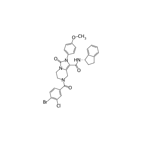 COc1ccc(-n2c(C(=O)N[C@H]3CCc4ccccc43)c3n(c2=O)CCN(C(=O)c2ccc(Br)c(Cl)c2)C3)cc1